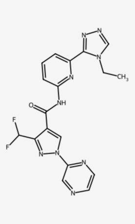 CCn1cnnc1-c1cccc(NC(=O)c2cn(-c3cnccn3)nc2C(F)F)n1